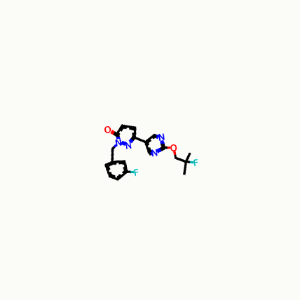 CC(C)(F)COc1ncc(-c2ccc(=O)n(Cc3cccc(F)c3)n2)cn1